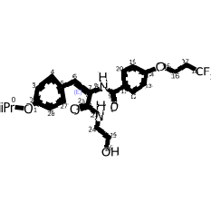 CC(C)Oc1ccc(/C=C(/NC(=O)c2ccc(OCCC(F)(F)F)cc2)C(=O)NCCO)cc1